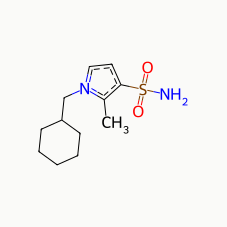 Cc1c(S(N)(=O)=O)ccn1CC1CCCCC1